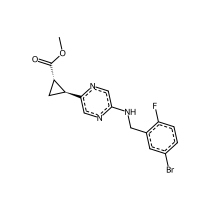 COC(=O)[C@H]1C[C@@H]1c1cnc(NCc2cc(Br)ccc2F)cn1